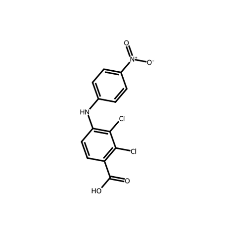 O=C(O)c1ccc(Nc2ccc([N+](=O)[O-])cc2)c(Cl)c1Cl